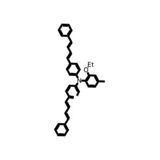 C=C(/C=C\C(=C/C)N(c1ccc(/C=C/C=C/c2ccccc2)cc1)c1ccc(C)cc1OCC)/C=C/C=C/c1ccccc1